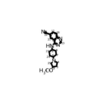 CO[C@@H]1CCN(C2CCC(Nc3ncnc4ccc(C#N)cc34)CC2)C1